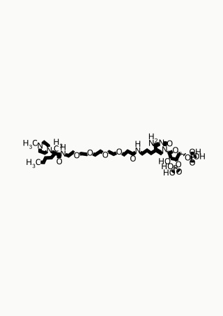 CCCC[C@@](C)(C(=O)NCCOCCOCCOCCOCCC(=O)NCCCc1cn([C@@H]2O[C@H](COP(=O)(O)O)C(OP(=O)(O)O)C2O)c(=O)nc1N)N1CCN(C)CC1